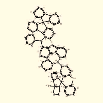 c1ccc(N(c2cccc3c2-c2ccccc2C32c3ccccc3-c3ccccc32)c2cccc3c2oc2cccc(N(c4ccccc4)c4ccc5c(c4)C4(c6ccccc6S5)c5ccccc5[C@H]5CCCCC54)c23)cc1